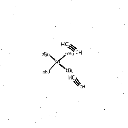 C#C.C#C.CCC[CH2][Sn]([CH2]CCC)([CH2]CCC)[C](C)(C)C